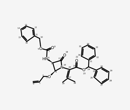 C=CCO[C@H]1[C@@H](NC(=O)OCc2ccccc2)C(=O)N1C(C(=O)OC(c1ccccc1)c1ccccc1)=C(C)C